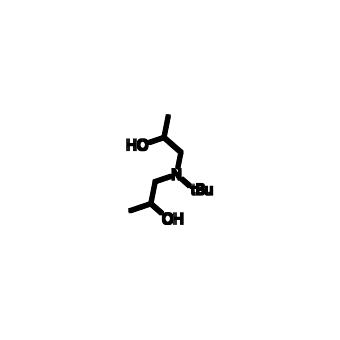 CC(O)CN(CC(C)O)C(C)(C)C